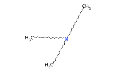 CCCCCCCCCCCCCCCCCCCCN(CCCCCCCCCCCCCCCC)CCCCCCCCCCCCCCCCCC